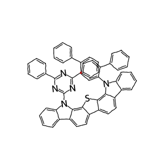 c1ccc(-c2nc(-c3ccccc3-c3ccccc3)nc(-n3c4ccccc4c4ccc5c6ccc7c8ccccc8n(-c8ccccc8-c8ccccc8)c7c6sc5c43)n2)cc1